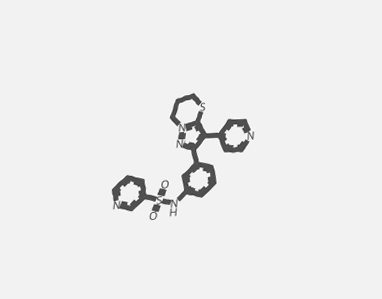 O=S(=O)(Nc1cccc(-c2nn3c(c2-c2ccncc2)SCCC3)c1)c1cccnc1